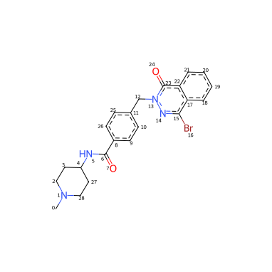 CN1CCC(NC(=O)c2ccc(Cn3nc(Br)c4ccccc4c3=O)cc2)CC1